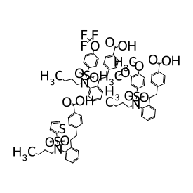 CCCCN(c1ccccc1CCc1ccc(C(=O)O)cc1)S(=O)(=O)c1ccc(OC(F)(F)F)cc1.CCCCN(c1ccccc1CCc1ccc(C(=O)O)cc1)S(=O)(=O)c1ccc(OC)c(OC)c1.CCCCN(c1ccccc1CCc1ccc(C(=O)O)cc1)S(=O)(=O)c1cccs1